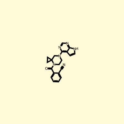 N#Cc1ccccc1C(=O)N1CCN(c2ncnc3[nH]ccc23)CC12CC2